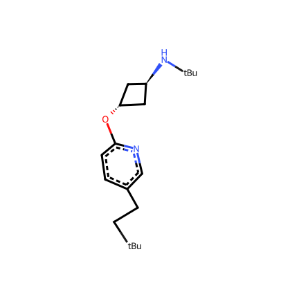 CC(C)(C)CCc1ccc(O[C@H]2C[C@H](NC(C)(C)C)C2)nc1